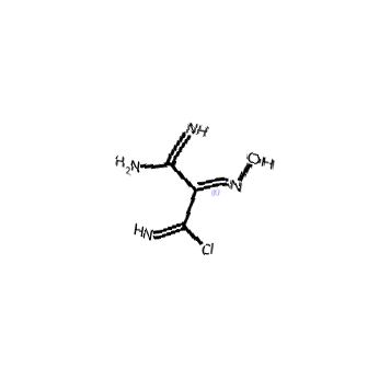 N=C(N)/C(=N\O)C(=N)Cl